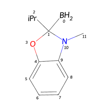 BC1(C(C)C)Oc2ccccc2N1C